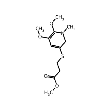 COC(=O)CCSC1=CC(OC)=C(OC)N(C)C1